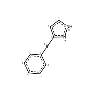 c1cc[c]([Ir][c]2cc[nH]n2)cc1